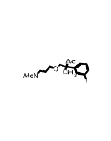 CNCCCOCC(C)(C(C)=O)c1cccc(I)c1